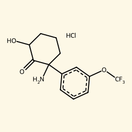 Cl.NC1(c2cccc(OC(F)(F)F)c2)CCCC(O)C1=O